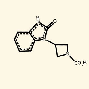 O=C(O)N1CC(n2c(=O)[nH]c3ccccc32)C1